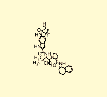 CC(C)(C)C(NC(=O)c1cc2cc(C(F)(F)P(=O)(O)O)ccc2[nH]1)C(=O)N1CCC[C@H]1C(=O)N[C@@H]1CCCc2ccccc21